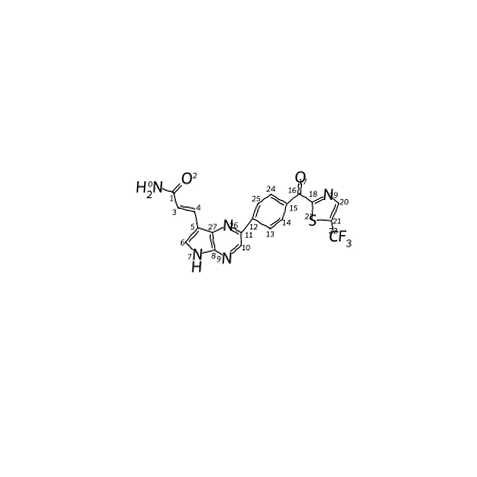 NC(=O)/C=C/c1c[nH]c2ncc(-c3ccc(C(=O)c4ncc(C(F)(F)F)s4)cc3)nc12